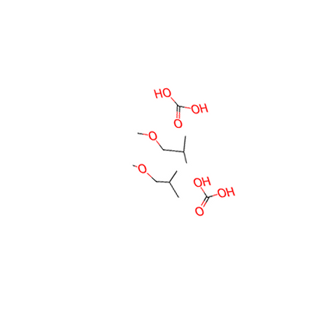 COCC(C)C.COCC(C)C.O=C(O)O.O=C(O)O